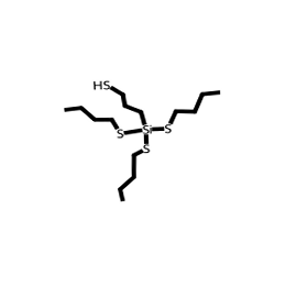 CCCCS[Si](CCCS)(SCCCC)SCCCC